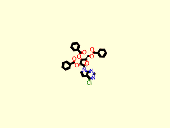 O=C(OC[C@H]1O[C@@H](n2ccc3c(Cl)ncnc32)[C@@H](OC(=O)c2ccccc2)C1OC(=O)c1ccccc1)c1ccccc1